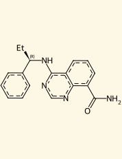 CC[C@@H](Nc1ncnc2c(C(N)=O)cccc12)c1ccccc1